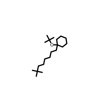 CC(C)(C)CCCCCCC1(OC(C)(C)C)CCCCC1